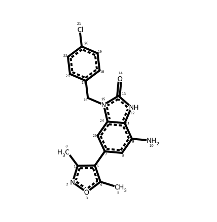 Cc1noc(C)c1-c1cc(N)c2[nH]c(=O)n(Cc3ccc(Cl)cc3)c2c1